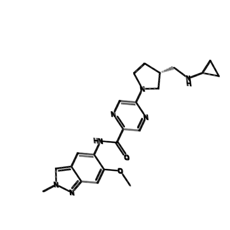 COc1cc2nn(C)cc2cc1NC(=O)c1cnc(N2CC[C@H](CNC3CC3)C2)cn1